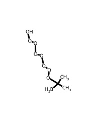 BC(C)(C)OOOOOOOO